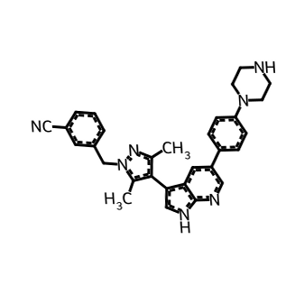 Cc1nn(Cc2cccc(C#N)c2)c(C)c1-c1c[nH]c2ncc(-c3ccc(N4CCNCC4)cc3)cc12